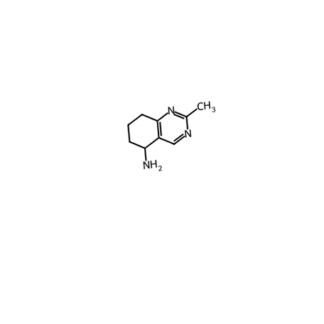 Cc1ncc2c(n1)CCCC2N